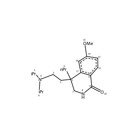 CCCC1(CCN(C(C)C)C(C)C)CNC(=O)c2ccc(OC)cc21